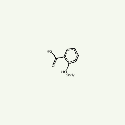 O=C(O)c1ccccc1O.[SnH2]